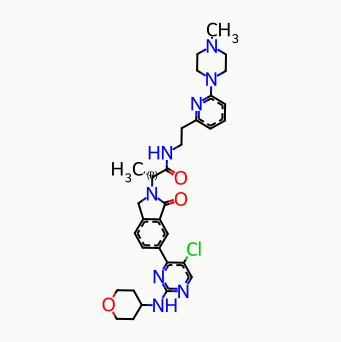 C[C@H](C(=O)NCCc1cccc(N2CCN(C)CC2)n1)N1Cc2ccc(-c3nc(NC4CCOCC4)ncc3Cl)cc2C1=O